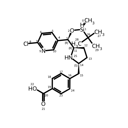 C[SiH](O[C@H](c1ccc(Cl)nc1)[C@H]1CC[C@@H](Cc2ccc(C(=O)O)cc2)N1)C(C)(C)C